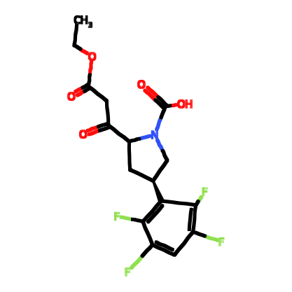 CCOC(=O)CC(=O)C1C[C@H](c2c(F)c(F)cc(F)c2F)CN1C(=O)O